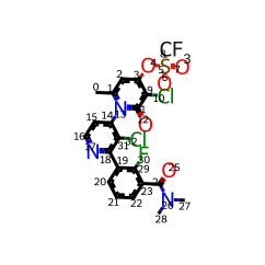 Cc1cc(OS(=O)(=O)C(F)(F)F)c(Cl)c(=O)n1-c1ccnc(-c2cccc(C(=O)N(C)C)c2F)c1Cl